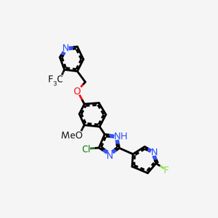 COc1cc(OCc2ccncc2C(F)(F)F)ccc1-c1[nH]c(-c2ccc(F)nc2)nc1Cl